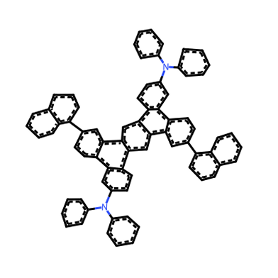 c1ccc(N(c2ccccc2)c2ccc3c(c2)c2ccc(-c4cccc5ccccc45)cc2c2cc4c5ccc(N(c6ccccc6)c6ccccc6)cc5c5ccc(-c6cccc7ccccc67)cc5c4cc32)cc1